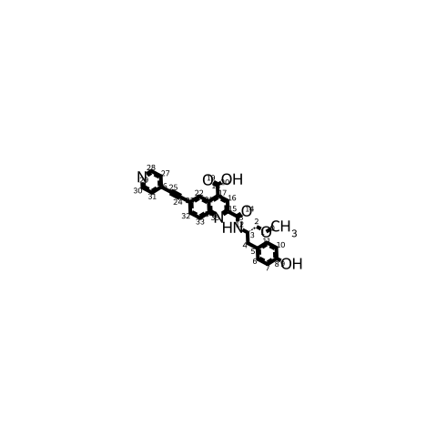 COC[C@H](Cc1ccc(O)cc1)NC(=O)c1cc(C(=O)O)c2cc(C#Cc3ccncc3)ccc2n1